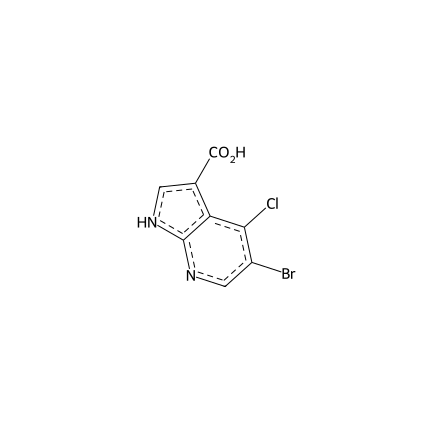 O=C(O)c1c[nH]c2ncc(Br)c(Cl)c12